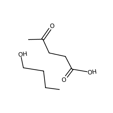 CC(=O)CCC(=O)O.CCCCO